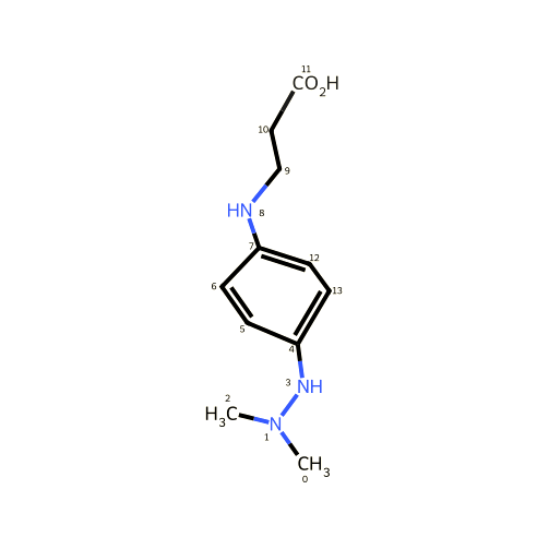 CN(C)Nc1ccc(NCCC(=O)O)cc1